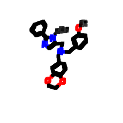 CCCCn1c(CN(Cc2cccc(OCC)c2)Cc2ccc3c(c2)OCCO3)cnc1-c1ccccc1